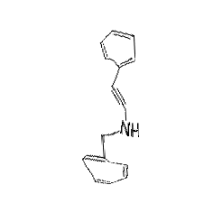 C(#Cc1ccccc1)NCc1ccccc1